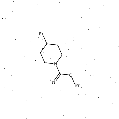 [CH2]CC1CCN(C(=O)OC(C)C)CC1